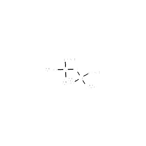 CCCCCCCC[Si](OC)(OC)O[Si](CCCCCCCC)(OC)OC